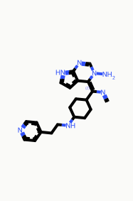 C=N/C(=C1/c2cc[nH]c2N=CN1N)C1CCC(NCCc2ccncc2)CC1